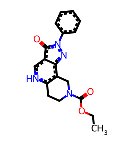 CCOC(=O)N1CCc2[nH]cc3c(=O)n(-c4ccccc4)nc-3c2C1